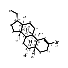 CC[C@@H]1CC[C@H]2[C@@H]3C[C@@H](F)[C@H]4CCC(Br)=C[C@]4(C)[C@H]3CC[C@]12C